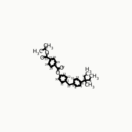 CCC(C)(CC)c1ccc(Cc2ccc(OC(=O)c3ccc(C(=O)OC(C)C)cc3)cc2)cc1